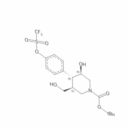 CC(C)(C)OC(=O)N1C[C@@H](CO)[C@H](c2ccc(OS(=O)(=O)C(F)(F)F)cc2)[C@@H](O)C1